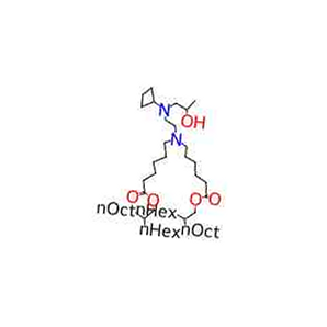 CCCCCCCCC(CCCCCC)COC(=O)CCCCCN(CCCCCC(=O)OCC(CCCCCC)CCCCCCCC)CCN(CC(C)O)C1CCC1